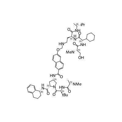 CN[C@@H](C)C(=O)N[C@H](C(=O)N1C[C@@H](NC(=O)c2ccc3cc(OCNCC[C@H](NC(=O)[C@@H](NC(=O)[C@H](CO)NC)C4CCCCC4)C(=O)N[C@H](C)C(C)C)ccc3c2)C[C@H]1C(=O)N[C@@H]1CCCc2ccccc21)C(C)(C)C